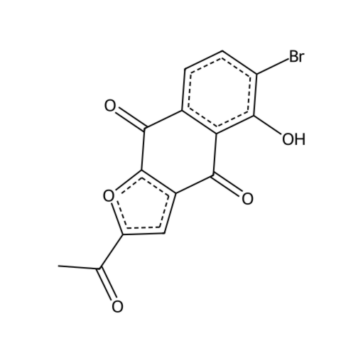 CC(=O)c1cc2c(o1)C(=O)c1ccc(Br)c(O)c1C2=O